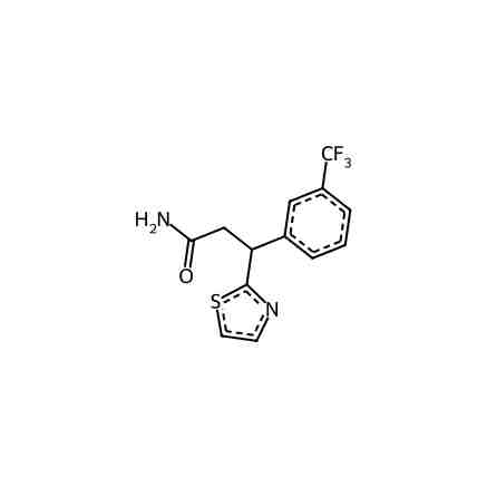 NC(=O)CC(c1cccc(C(F)(F)F)c1)c1nccs1